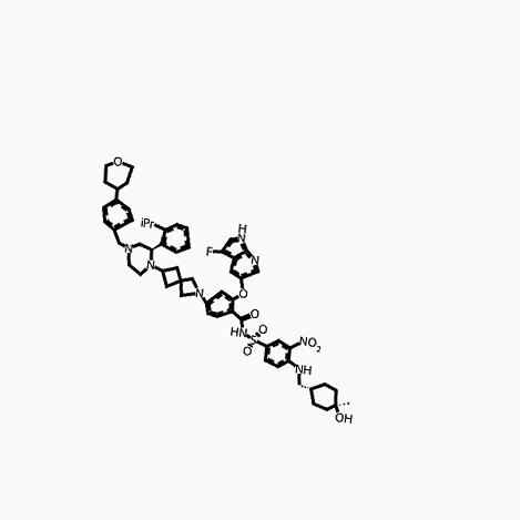 CC(C)c1ccccc1[C@@H]1CN(Cc2ccc(C3CCOCC3)cc2)CCN1C1CC2(C1)CN(c1ccc(C(=O)NS(=O)(=O)c3ccc(NC[C@H]4CC[C@](C)(O)CC4)c([N+](=O)[O-])c3)c(Oc3cnc4[nH]cc(F)c4c3)c1)C2